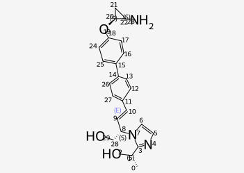 C[C@H](O)c1nccn1[C@@H](/C=C/c1ccc(-c2ccc(O[C@H]3C[C@@H]3N)cc2)cc1)CO